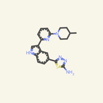 CC1CCN(c2cccc(-c3c[nH]c4ccc(-c5nnc(N)s5)cc34)n2)CC1